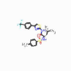 Cc1ccc(S(=O)(=O)N[C@@H](CC(C)C)C(=O)Nc2nc(-c3ccc(C(F)(F)F)cc3)cs2)cc1